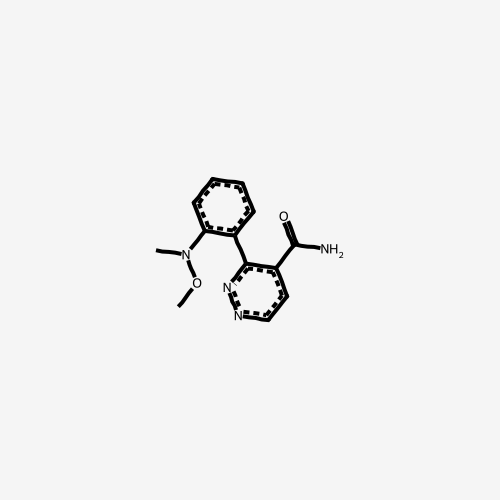 CON(C)c1ccccc1-c1nnccc1C(N)=O